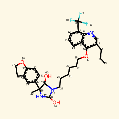 CCCc1cnc2c(C(F)(F)F)cccc2c1OCCCCCCN1C(O)NC(C)(c2ccc3c(c2)CCO3)C1O